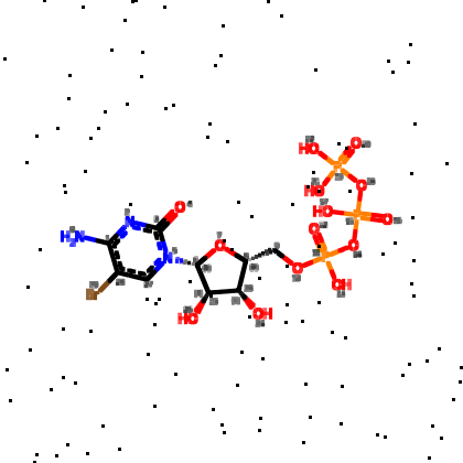 Nc1nc(=O)n([C@@H]2O[C@H](COP(=O)(O)OP(=O)(O)OP(=O)(O)O)[C@@H](O)[C@H]2O)cc1Br